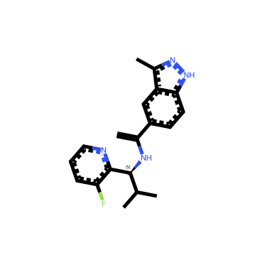 C=C(N[C@H](c1ncccc1F)C(C)C)c1ccc2[nH]nc(C)c2c1